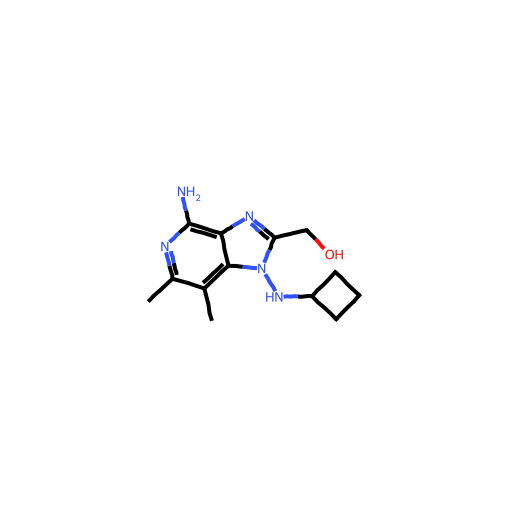 Cc1nc(N)c2nc(CO)n(NC3CCC3)c2c1C